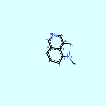 CNc1cccc2cncc(C)c12